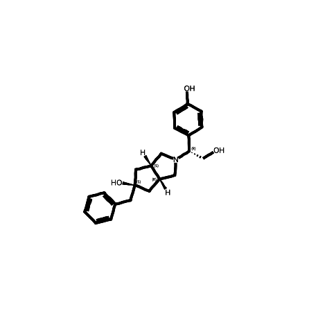 OC[C@@H](c1ccc(O)cc1)N1C[C@@H]2C[C@](O)(Cc3ccccc3)C[C@@H]2C1